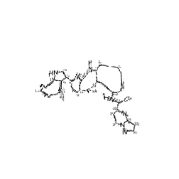 O=C(NC1CCCC(Nc2nc(-c3c[nH]c4ncncc34)ncc2F)C1)c1ccn2nccc2n1